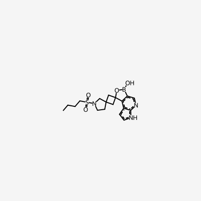 CCCCS(=O)(=O)N1CCC2(C1)CC1(C2)OB(O)c2cnc3[nH]ccc3c21